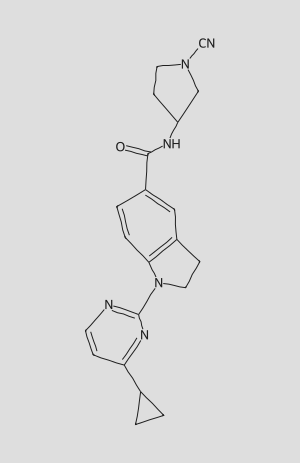 N#CN1CCC(NC(=O)c2ccc3c(c2)CCN3c2nccc(C3CC3)n2)C1